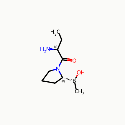 CC[C@H](N)C(=O)N1CCC[C@H]1B(C)O